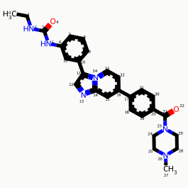 CCNC(=O)Nc1cccc(-c2cnc3cc(-c4ccc(C(=O)N5CCN(C)CC5)cc4)ccn23)c1